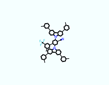 Cc1cccc(-c2ccc3c(c2)c2cc(-c4cccc(C)c4)ccc2n3-c2cc(-c3cc(C)cc(C(F)(F)F)c3)c(-n3c4ccc(-c5cccc(C)c5)cc4c4cc(-c5cccc(C)c5)ccc43)cc2C#N)c1